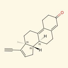 C#CC1=CC[C@H]2[C@@H]3CCC4=CC(=O)CCC4=C3CC[C@]12C